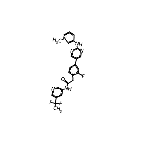 CN1C=C=CC(Nc2ncc(-c3ccc(CC(=O)Nc4cncc(C(C)(F)F)c4)c(F)c3)cn2)=C1